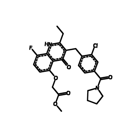 CCc1[nH]c2c(F)ccc(OCC(=O)OC)c2c(=O)c1Cc1ccc(C(=O)N2CCCC2)cc1Cl